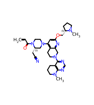 C=CC(=O)N1CCN(c2cc(OC[C@@H]3CCCN3C)nc3c2CCN(c2ncnc4c2CCCN4C)C3)C[C@@H]1CC#N